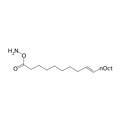 CCCCCCCCC=CCCCCCCCC(=O)ON